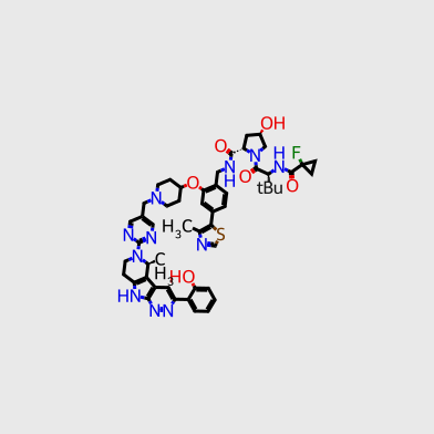 Cc1ncsc1-c1ccc(CNC(=O)[C@@H]2C[C@@H](O)CN2C(=O)[C@@H](NC(=O)C2(F)CC2)C(C)(C)C)c(OC2CCN(Cc3cnc(N4CCc5[nH]c6nnc(-c7ccccc7O)cc6c5[C@@H]4C)nc3)CC2)c1